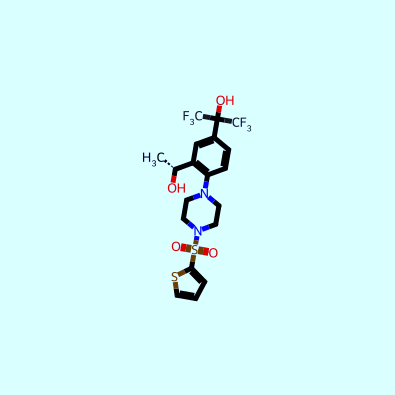 C[C@@H](O)c1cc(C(O)(C(F)(F)F)C(F)(F)F)ccc1N1CCN(S(=O)(=O)c2cccs2)CC1